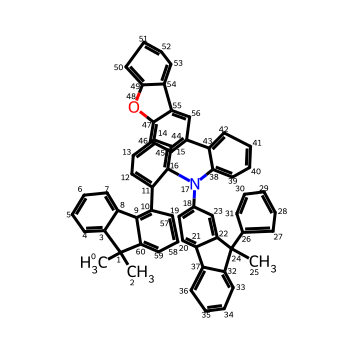 CC1(C)c2ccccc2-c2c(-c3ccccc3N(c3ccc4c(c3)C(C)(c3ccccc3)c3ccccc3-4)c3ccccc3-c3ccc4oc5ccccc5c4c3)cccc21